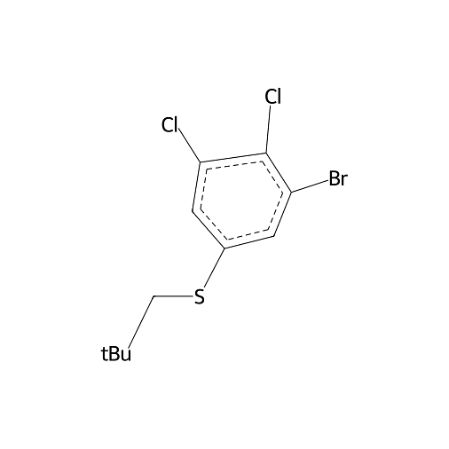 CC(C)(C)CSc1cc(Cl)c(Cl)c(Br)c1